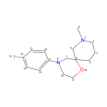 CN1CCCC2(C1)CN(c1ccc(I)cc1)CCO2